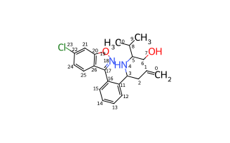 C=CCC(NC(CO)C(C)C)c1ccccc1-c1noc2cc(Cl)ccc12